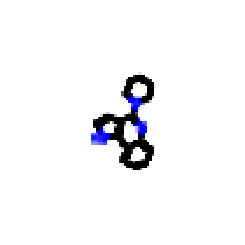 c1ccc2c(c1)nc(N1CCCCC1)c1cc[nH]c12